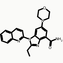 CCc1nc2c(C(N)=O)cc(N3CCOCC3)cc2n1-c1ccc2ccccc2n1